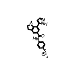 CN1CCc2cc(C(=O)Nc3ccc(SC(F)(F)F)cc3)cc(-c3ccn[nH]3)c21